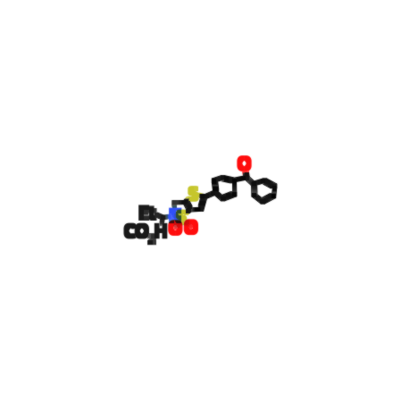 CCC(C(=O)O)N1Cc2sc(-c3ccc(C(=O)c4ccccc4)cc3)cc2S1(=O)=O